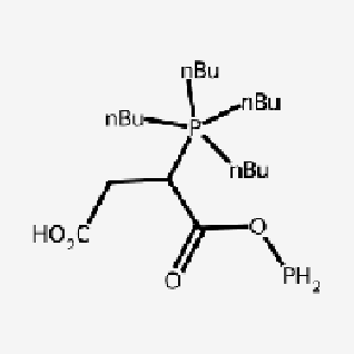 CCCCP(CCCC)(CCCC)(CCCC)C(CC(=O)O)C(=O)OP